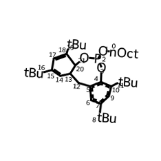 CCCCCCCCOP1Oc2c(cc(C(C)(C)C)cc2C(C)(C)C)CC2C=C(C(C)(C)C)C=C(C(C)(C)C)C2O1